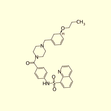 CCCO[C@H]1C=CC=C(CN2CCN(C(=O)c3ccc(NS(=O)(=O)c4cccc5cccnc45)cc3)CC2)C1